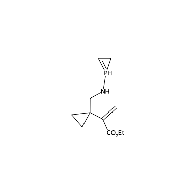 C=C(C(=O)OCC)C1(CN[PH]2=CC2)CC1